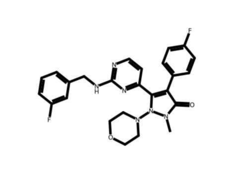 Cn1c(=O)c(-c2ccc(F)cc2)c(-c2ccnc(NCc3cccc(F)c3)n2)n1N1CCOCC1